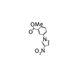 COC(=O)c1cccc(-n2ccc([N+](=O)[O-])c2)c1